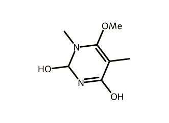 COC1=C(C)C(O)=NC(O)N1C